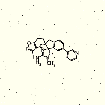 CN1OC2(N=C1N)c1cc(-c3cccnc3)ccc1CC21CCc2onc(I)c2C1